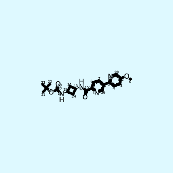 COc1ccc(-c2ccc(C(=O)N[C@H]3C[C@@H](NC(=O)OC(C)(C)C)C3)nc2)nc1